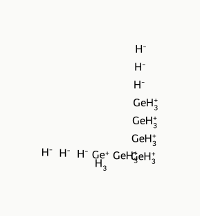 [GeH3+].[GeH3+].[GeH3+].[GeH3+].[GeH3+].[GeH3+].[H-].[H-].[H-].[H-].[H-].[H-]